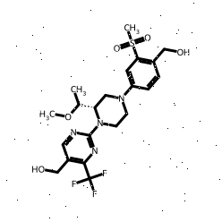 COC(C)[C@@H]1CN(c2ccc(CO)c(S(C)(=O)=O)c2)CCN1c1ncc(CO)c(C(F)(F)F)n1